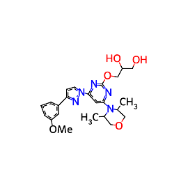 COc1cccc(-c2ccn(-c3cc(N4C(C)COCC4C)nc(OCC(O)CO)n3)n2)c1